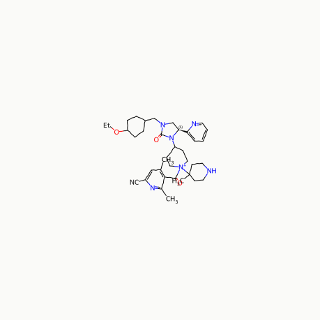 CCOC1CCC(CN2C[C@@H](c3ccccn3)N(C3CC[N+](C(=O)c4c(C)cc(C#N)nc4C)(C4(C)CCNCC4)CC3)C2=O)CC1